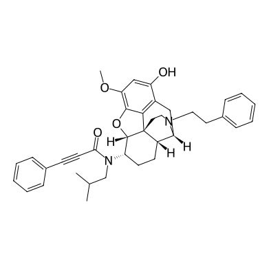 COc1cc(O)c2c3c1O[C@H]1[C@@H](N(CC(C)C)C(=O)C#Cc4ccccc4)CC[C@H]4[C@@H](C2)N(CCc2ccccc2)CC[C@@]341